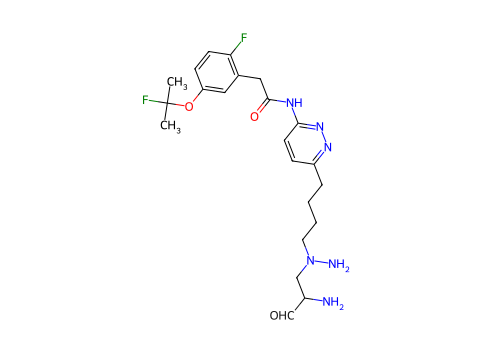 CC(C)(F)Oc1ccc(F)c(CC(=O)Nc2ccc(CCCCN(N)CC(N)C=O)nn2)c1